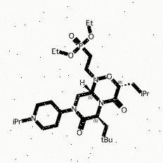 CCOP(=O)(CCN1O[C@H](CC(C)C)C(=O)N2[C@@H]1CN(C1CCN(C(C)C)CC1)C(=O)[C@@H]2CC(C)(C)C)OCC